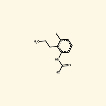 CCCc1c(I)cccc1NC(=O)O